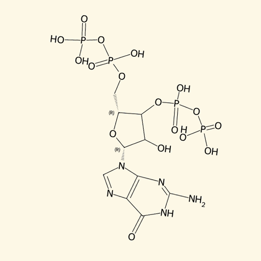 Nc1nc2c(ncn2[C@@H]2O[C@H](COP(=O)(O)OP(=O)(O)O)C(OP(=O)(O)OP(=O)(O)O)C2O)c(=O)[nH]1